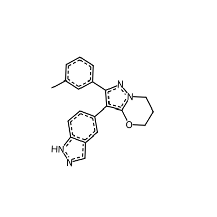 Cc1cccc(-c2nn3c(c2-c2ccc4[nH]ncc4c2)OCCC3)c1